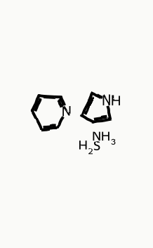 N.S.c1cc[nH]c1.c1ccncc1